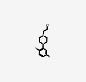 Fc1ccc(F)c(N2CCN(CCCl)CC2)c1